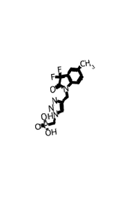 Cc1ccc2c(c1)C(F)(F)C(=O)N2Cc1cn(CP(=O)(O)O)nn1